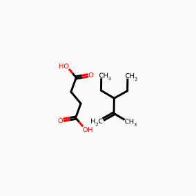 C=C(C)C(CC)CC.O=C(O)CCC(=O)O